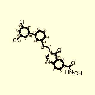 O=C(NO)c1ccc2ncn(CCc3cccc(-c4cc(Cl)cc(Cl)c4)c3)c(=O)c2c1